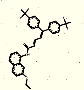 CCOc1ccc2cccc(NC(=O)/C=C/C=C(c3ccc(C(F)(F)F)cc3)c3ccc(C(F)(F)F)cc3)c2c1